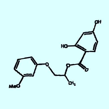 COc1cccc(OCC(C)OC(=O)c2ccc(O)cc2O)c1